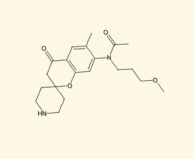 COCCCN(C(C)=O)c1cc2c(cc1C)C(=O)CC1(CCNCC1)O2